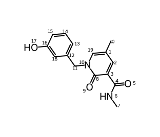 [CH2]c1cc(C(=O)NC)c(=O)n(Cc2cccc(O)c2)c1